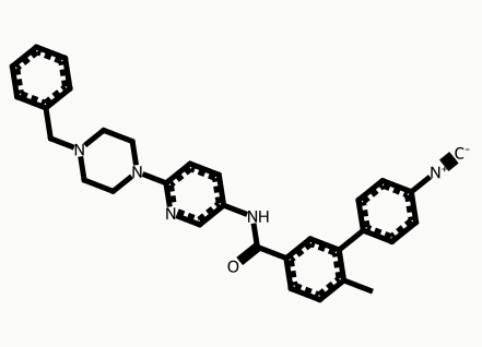 [C-]#[N+]c1ccc(-c2cc(C(=O)Nc3ccc(N4CCN(Cc5ccccc5)CC4)nc3)ccc2C)cc1